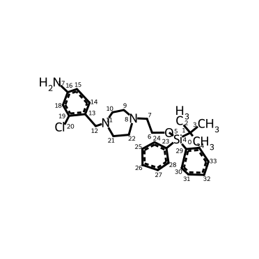 CC(C)(C)[Si](OCCN1CCN(Cc2ccc(N)cc2Cl)CC1)(c1ccccc1)c1ccccc1